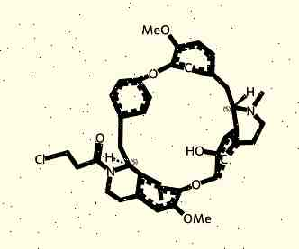 COc1ccc2cc1Oc1ccc(cc1)C[C@H]1c3c(cc(OC)c(c3C)Oc3cc4c(cc3O)[C@H](C2)N(C)CC4)CCN1C(=O)CCCl